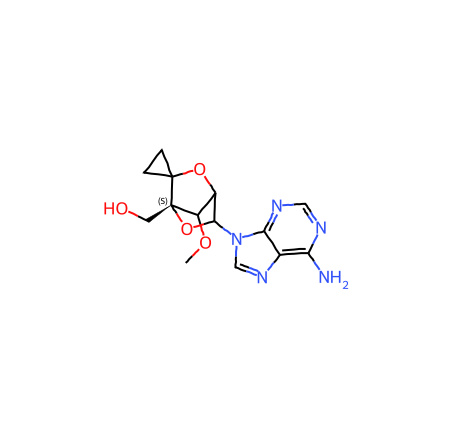 COC1C2OC3(CC3)[C@@]1(CO)OC2n1cnc2c(N)ncnc21